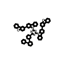 c1ccc(-c2ccccc2-c2cccc(-c3nc(-n4c5ccccc5c5ccc(-c6ccc7oc8ccccc8c7c6)cc54)nc(-n4c5ccccc5c5ccc(-c6ccc7oc8ccccc8c7c6)cc54)n3)c2)cc1